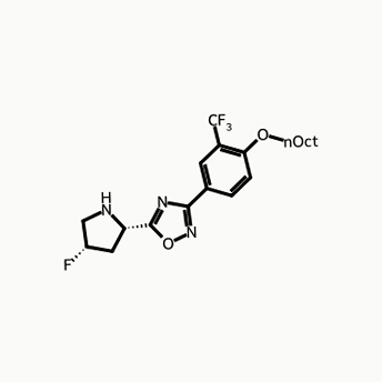 CCCCCCCCOc1ccc(-c2noc([C@@H]3C[C@H](F)CN3)n2)cc1C(F)(F)F